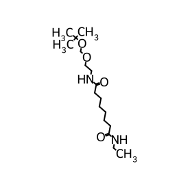 CCNC(=O)CCCCCCC(=O)NCCOCOC(C)(C)C